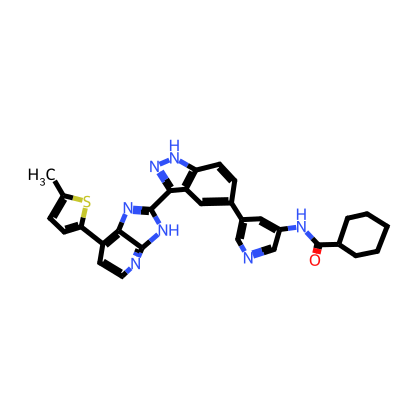 Cc1ccc(-c2ccnc3[nH]c(-c4n[nH]c5ccc(-c6cncc(NC(=O)C7CCCCC7)c6)cc45)nc23)s1